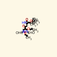 C=CCOC(NC=O)C(CN(C=O)OCC=C)C(=O)C[C@H]1NC(=O)[C@@H]1[C@@H](C)O[Si](C)(C)C(C)(C)C